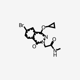 CNC(=O)Cn1nc(OC2CC2)c2cc(Br)ccc2c1=O